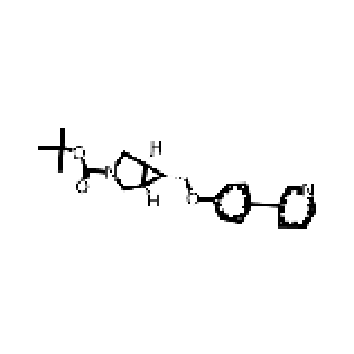 CC(C)(C)OC(=O)N1C[C@@H]2[C@@H](COc3ccc(-c4cccnc4)cc3)[C@@H]2C1